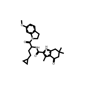 COc1ccc2c(c1)N(C(=O)C(CCC1CC1)NC(=O)c1[nH]c3c(c1C)C(=O)CC(C)(C)C3)CC2